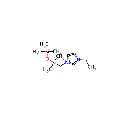 CCn1cc[n+](C[Si](C)(C)O[Si](C)(C)C)c1.[I-]